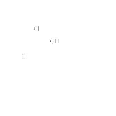 CCCC(C)C.CO.ClCCl